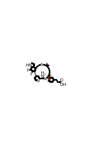 CCC1/N=C(\N)c2cc(ccn2)Sc2c(F)c(F)c3[nH]ccc3c2CCSCC(C)(C)CCC[C@]1(C)c1cccc(CCC(=O)O)c1